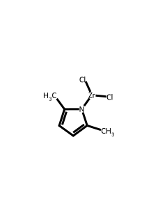 Cc1ccc(C)[n]1[Zr]([Cl])[Cl]